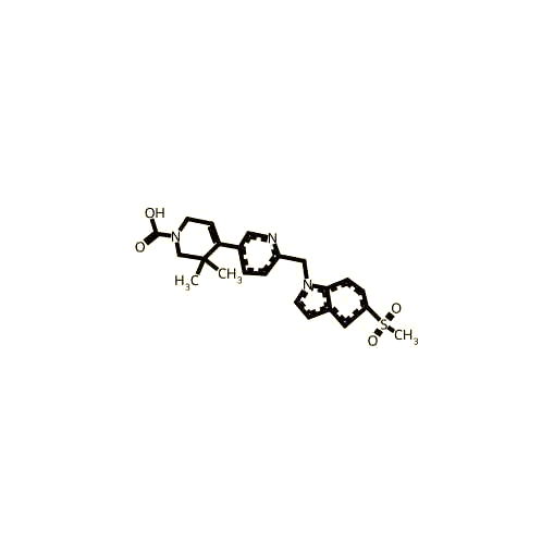 CC1(C)CN(C(=O)O)CC=C1c1ccc(Cn2ccc3cc(S(C)(=O)=O)ccc32)nc1